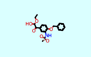 CCOC(O)C(=O)c1ccc(OCc2ccccc2)c(NS(C)(=O)=O)c1